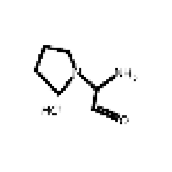 Cl.NC(C=O)N1CCCC1